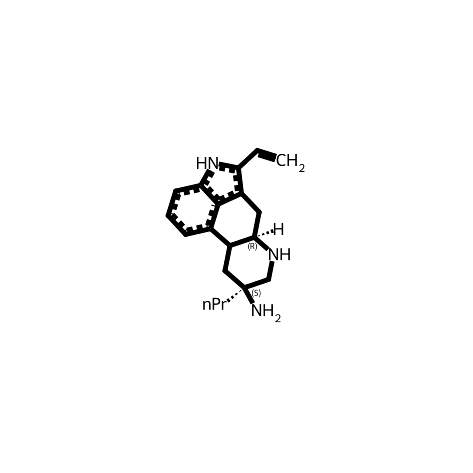 C=Cc1[nH]c2cccc3c2c1C[C@H]1NC[C@](N)(CCC)CC31